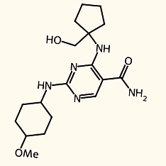 COC1CCC(Nc2ncc(C(N)=O)c(NC3(CO)CCCC3)n2)CC1